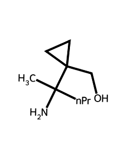 CCCC(C)(N)C1(CO)CC1